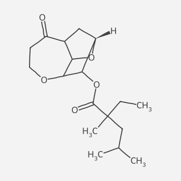 CCC(C)(CC(C)C)C(=O)OC1C2OCCC(=O)C3C[C@@H]1OC32